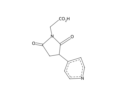 O=C(O)CN1C(=O)CC(c2ccncc2)C1=O